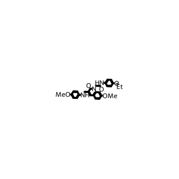 CCOc1ccc(NC(=O)Cn2c(=O)c(CNc3ccc(OC)cc3)cc3ccc(OC)cc32)cc1